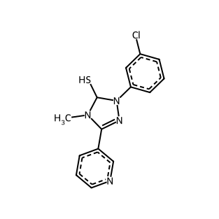 CN1C(c2cccnc2)=NN(c2cccc(Cl)c2)C1S